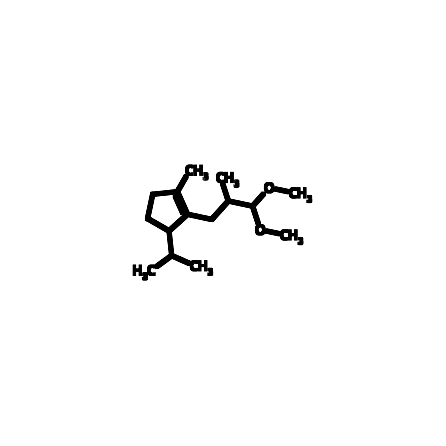 COC(OC)C(C)CC1=C(C)CCC1C(C)C